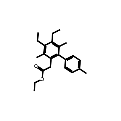 CCOC(=O)Cc1c(C)c(CC)c(CC)c(C)c1-c1ccc(C)cc1